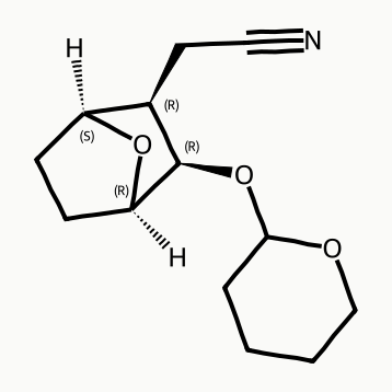 N#CC[C@H]1[C@@H](OC2CCCCO2)[C@H]2CC[C@@H]1O2